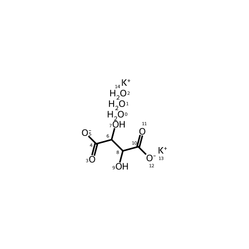 O.O.O.O=C([O-])C(O)C(O)C(=O)[O-].[K+].[K+]